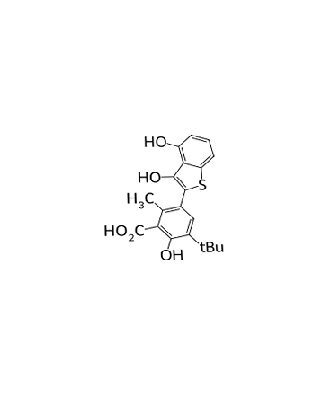 Cc1c(-c2sc3cccc(O)c3c2O)cc(C(C)(C)C)c(O)c1C(=O)O